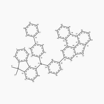 CC1(C)c2ccccc2-c2c(N(c3ccc(-c4ccccc4)cc3)c3cccc(-c4cc5oc6cccc7c8ccccc8c(c4)c5c67)c3)cccc21